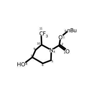 CCCCOC(=O)N1CCC(O)CC1C(F)(F)F